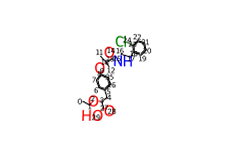 CCO[C@@H](Cc1ccc(OC(C)(C)C(=O)NCCc2ccccc2Cl)cc1)C(=O)O